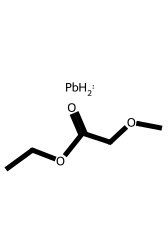 CCOC(=O)COC.[PbH2]